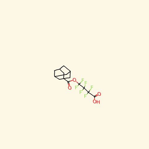 O=C(OC(F)(F)C(F)(F)C(F)(F)C(=O)O)C12CC3CC(CC(C3)C1)C2